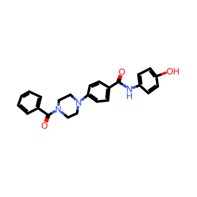 O=C(Nc1ccc(O)cc1)c1ccc(N2CCN(C(=O)c3ccccc3)CC2)cc1